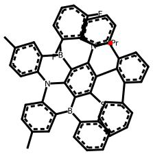 CB1c2cc(C)ccc2N2c3ccc(C)cc3B3c4ccccc4Sc4c3c2c1c(N(c1c(F)cccc1F)C(C)C)c4-c1c(-c2ccccc2)cccc1-c1ccccc1